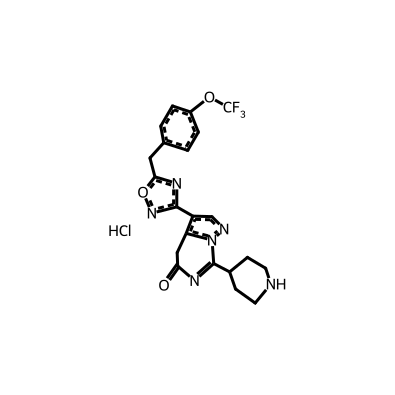 Cl.O=C1Cc2c(-c3noc(Cc4ccc(OC(F)(F)F)cc4)n3)cnn2C(C2CCNCC2)=N1